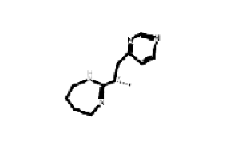 C[C@@H](Cc1ccncn1)C1=NCCCCN1